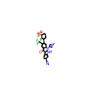 CN1CC(n2c3cc(-c4cccc(S(=O)(=O)F)c4)c(C(F)(F)F)cc3c(=O)c3c4ccc(C#N)cc4[nH]c32)C1